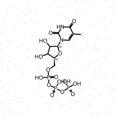 Cc1cn([C@H]2O[C@@H](COP(=O)(O)OP(=O)(O)OP(=O)(O)O)C(O)C2O)c(=O)[nH]c1=O